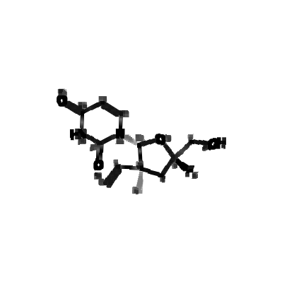 C=C[C@]1(C)C[C@@](F)(CO)O[C@H]1n1ccc(=O)[nH]c1=O